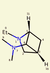 CCN1C[C@H]2C[C@@H]1C2N(C)C